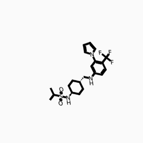 CC(C)S(=O)(=O)N[C@H]1CC[C@H](CNc2ccc(C(F)(F)F)c(-n3cccc3)c2)CC1